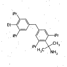 CCc1c(C(C)C)cc(Cc2cc(C(C)C)c(C(C)(C)N)c(C(C)C)c2)cc1C(C)C